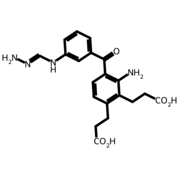 NN=CNc1cccc(C(=O)c2ccc(CCC(=O)O)c(CCC(=O)O)c2N)c1